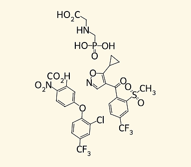 CS(=O)(=O)c1cc(C(F)(F)F)ccc1C(=O)c1cnoc1C1CC1.O=C(O)CNCP(=O)(O)O.O=C(O)c1cc(Oc2ccc(C(F)(F)F)cc2Cl)ccc1[N+](=O)[O-]